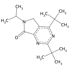 CC(C)N1Cc2c(nc(C(C)(C)C)nc2C(C)(C)C)C1=O